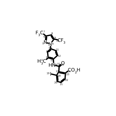 Cc1cc(-n2nc(C(F)(F)F)cc2C(F)(F)F)ccc1NC(=O)c1c(I)cccc1C(=O)O